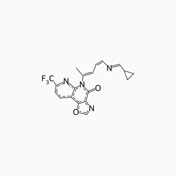 C\C(=C/C=C\N=C\C1CC1)n1c(=O)c2ncoc2c2ccc(C(F)(F)F)nc21